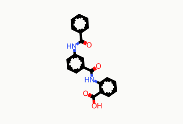 O=C(Nc1cccc(C(=O)Nc2ccccc2C(=O)O)c1)c1ccccc1